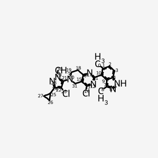 Cc1ccc2[nH]nc(C)c2c1-c1nc(Cl)c2c(n1)CCN(c1c(Cl)c(C3CC3)nn1C)C2